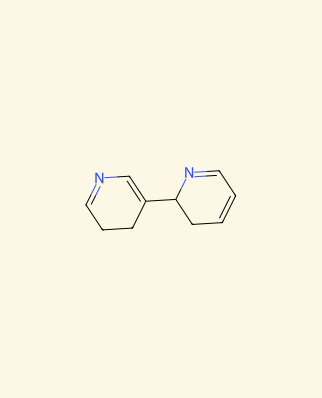 C1=CCC(C2=CN=CCC2)N=C1